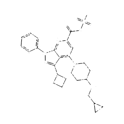 CS(=O)(=O)NC(=O)c1cc(N2CCC(OCC3CC3)CC2)c2c(C3CCC3)nn(-c3ccccc3)c2n1